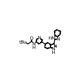 CC(C)(C)CC(=O)Nc1cncc(-c2ccc3[nH]nc(-c4nc5ccccc5[nH]4)c3c2)c1